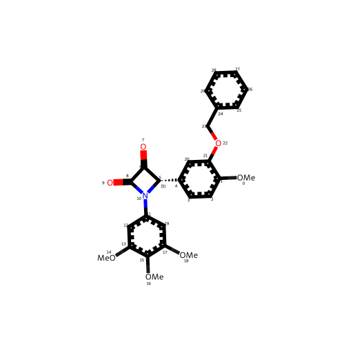 COc1ccc([C@H]2C(=O)C(=O)N2c2cc(OC)c(OC)c(OC)c2)cc1OCc1ccccc1